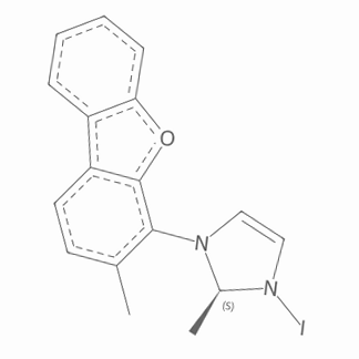 Cc1ccc2c(oc3ccccc32)c1N1C=CN(I)[C@H]1C